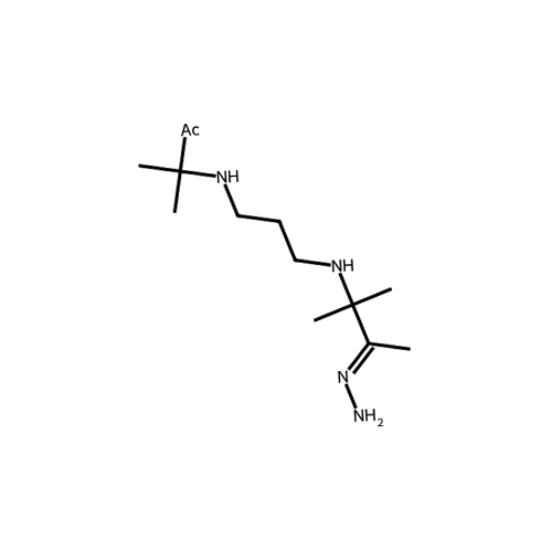 CC(=O)C(C)(C)NCCCNC(C)(C)/C(C)=N/N